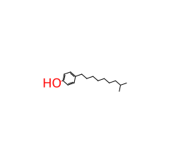 CC(C)CCCCCCCc1ccc(O)cc1